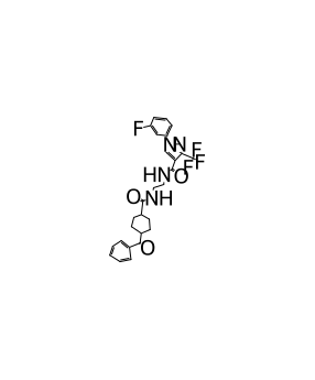 O=C(NCCNC(=O)C1CCC(C(=O)c2ccccc2)CC1)c1cn(-c2cccc(F)c2)nc1C(F)(F)F